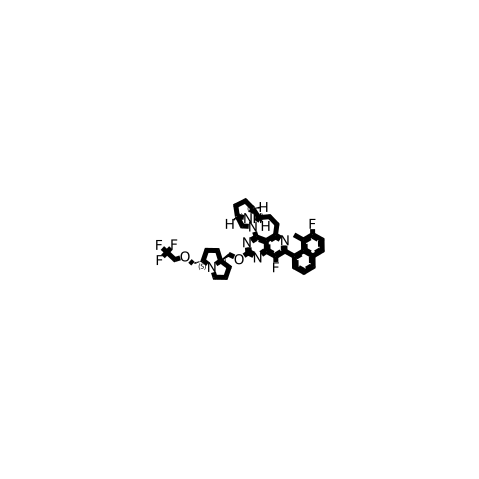 Cc1c(F)ccc2cccc(-c3nc4c5c(nc(OC[C@@]67CCCN6[C@H](COCC(F)(F)F)CC7)nc5c3F)N3C[C@H]5CC[C@H](N5)[C@H]3CC4)c12